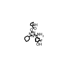 NN(c1ccc(O)c(F)c1)c1nc(OC(=O)C2CCCN2)nc(C2CCCCCC2)n1